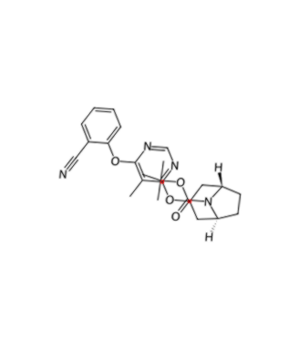 Cc1c(Oc2ccccc2C#N)ncnc1OC1C[C@@H]2CC[C@@H](C1)N2C(=O)OC(C)(C)C